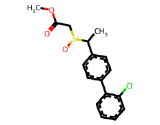 COC(=O)C[S+]([O-])C(C)c1ccc(-c2ccccc2Cl)cc1